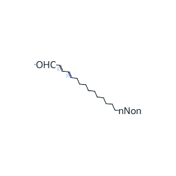 CCCCCCCCCCCCCCCCCCC/C=C/C=C/[C]=O